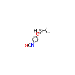 CC=C(C)[SiH2]COc1ccc(N=C=O)cc1